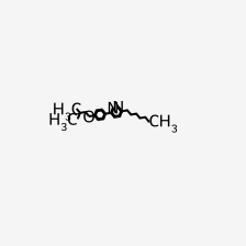 CCCCCCCc1ccc(-c2ccc(OCC(C)CC)cc2)nn1